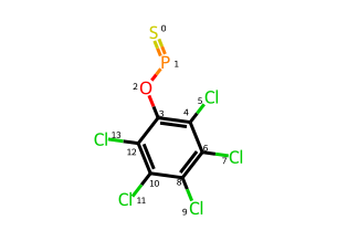 S=POc1c(Cl)c(Cl)c(Cl)c(Cl)c1Cl